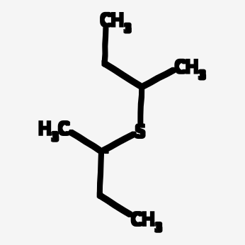 CC[C](C)SC(C)CC